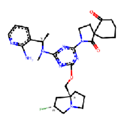 C[C@H](c1cccnc1N)N(C)c1nc(OC[C@@]23CCCN2C[C@H](F)C3)nc(N2CCC3(CCCCC3=O)C2=O)n1